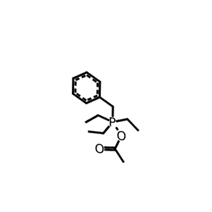 CCP(CC)(CC)(Cc1ccccc1)OC(C)=O